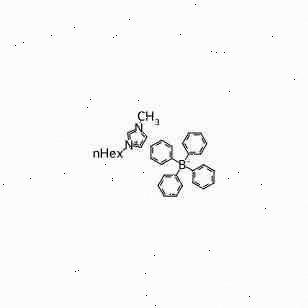 CCCCCC[n+]1ccn(C)c1.c1ccc([B-](c2ccccc2)(c2ccccc2)c2ccccc2)cc1